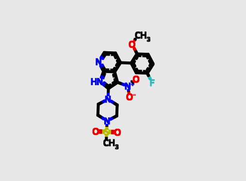 COc1ccc(F)cc1-c1ccnc2[nH]c(N3CCN(S(C)(=O)=O)CC3)c([N+](=O)[O-])c12